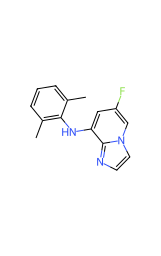 Cc1cccc(C)c1Nc1cc(F)cn2ccnc12